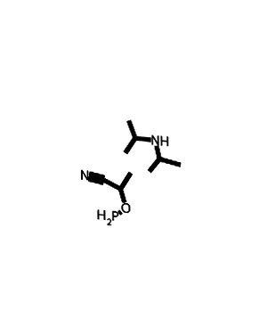 CC(C#N)OP.CC(C)NC(C)C